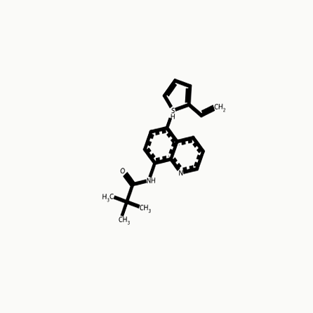 C=CC1=CC=C[SH]1c1ccc(NC(=O)C(C)(C)C)c2ncccc12